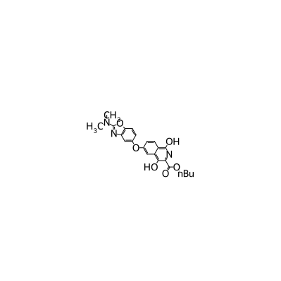 CCCCOC(=O)c1nc(O)c2ccc(Oc3ccc4oc(N(C)C)nc4c3)cc2c1O